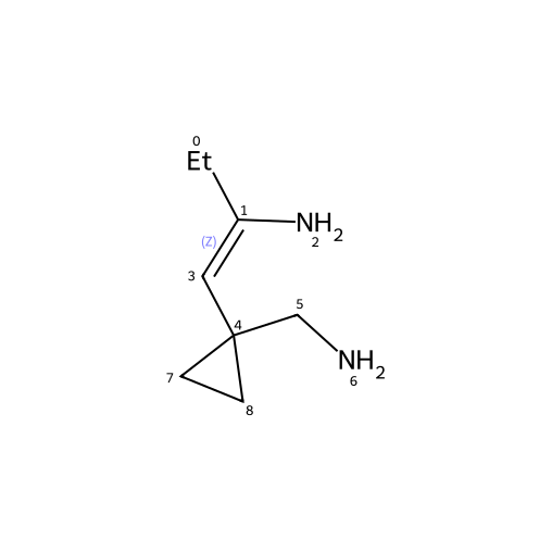 CC/C(N)=C/C1(CN)CC1